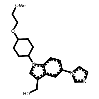 COCCOC1CCC(n2cc(CO)c3cc(-n4ccnc4)ccc32)CC1